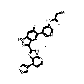 CC(C)CC(=O)Nc1cncc(-c2cc3c(-c4nc5c(-c6ccsc6)ccnc5[nH]4)n[nH]c3cc2F)c1